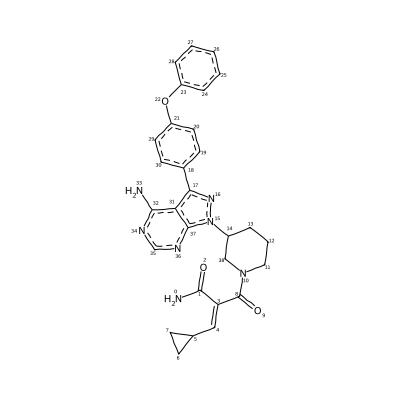 NC(=O)C(=CC1CC1)C(=O)N1CCCC(n2nc(-c3ccc(Oc4ccccc4)cc3)c3c(N)ncnc32)C1